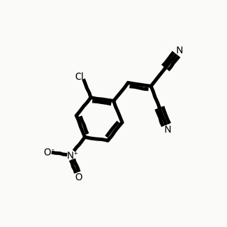 N#CC(C#N)=Cc1ccc([N+](=O)[O-])cc1Cl